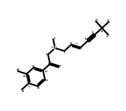 C=C(CN(C)C/C=C/C#CC(C)(C)C)c1ccc(C)c(C)c1